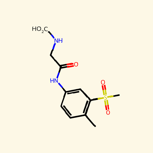 Cc1ccc(NC(=O)CNC(=O)O)cc1S(C)(=O)=O